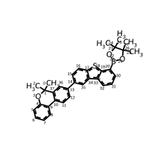 CC1(C)Oc2ccccc2-c2ccc(-c3ccc4sc5c(B6OC(C)(C)C(C)(C)O6)cccc5c4c3)cc21